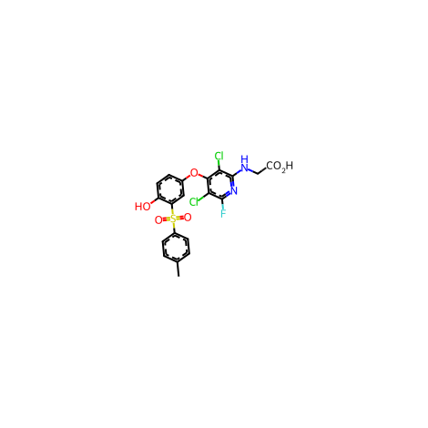 Cc1ccc(S(=O)(=O)c2cc(Oc3c(Cl)c(F)nc(NCC(=O)O)c3Cl)ccc2O)cc1